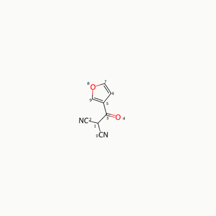 N#CC(C#N)C(=O)c1ccoc1